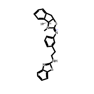 CN1/C(=N\c2cccc(CCNc3nc4ccccc4s3)c2)SC2Cc3ccccc3[C@@H]21